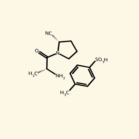 C[C@@H](N)C(=O)N1CCC[C@H]1C#N.Cc1ccc(S(=O)(=O)O)cc1